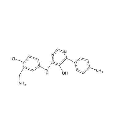 Cc1ccc(-c2ncnc(Nc3ccc(Cl)c(CN)c3)c2O)cc1